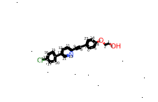 OCCOc1ccc(C#Cc2ccc(-c3ccc(Cl)cc3)cn2)cc1